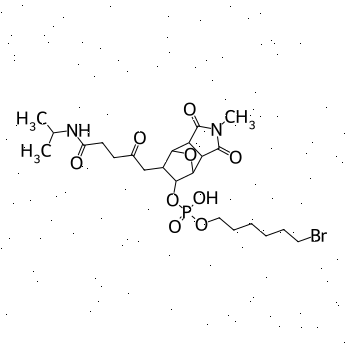 CC(C)NC(=O)CCC(=O)CC1C(OP(=O)(O)OCCCCCCBr)C2OC1C1C(=O)N(C)C(=O)C21